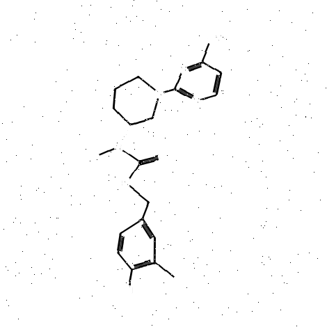 COc1ccnc(N2CCC[C@@H](N(C)C(=O)NCc3ccc(Cl)c(C)c3)C2)n1